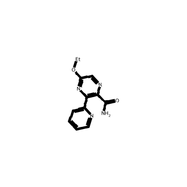 CCOc1cnc(C(N)=O)c(-c2ccccn2)n1